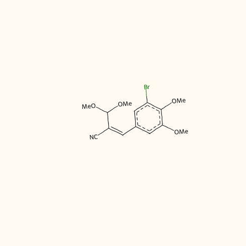 COc1cc(/C=C(/C#N)C(OC)OC)cc(Br)c1OC